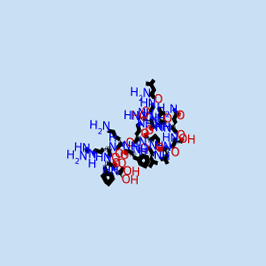 CC(C)C[C@H](NC(=O)[C@H](CO)NC(=O)CNC(=O)[C@@H](N)CC(C)C)C(=O)N[C@@H](CCC(N)=O)C(=O)N[C@@H](CO)C(=O)N[C@@H](CC(C)C)C(=O)N[C@@H](CC(C)C)C(=O)N1CCC[C@H]1C(=O)N[C@@H](CCCNC(=N)N)C(=O)N[C@@H](Cc1ccccc1)C(=O)N[C@@H](CCCCN)C(=O)N[C@@H](CCCNC(=N)N)C(=O)N[C@@H](Cc1ccccc1)C(=O)N[C@@H](CO)C(=O)O